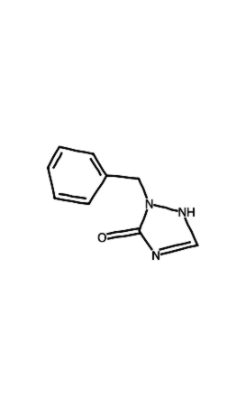 O=c1nc[nH]n1Cc1ccccc1